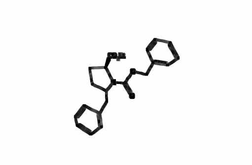 CCOC(=O)[C@@H]1CCC(Cc2ccccc2)N1C(=O)OCc1ccccc1